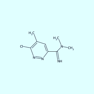 Cc1cc(C(=N)N(C)C)nnc1Cl